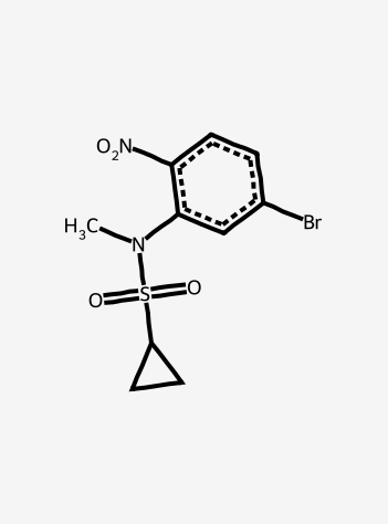 CN(c1cc(Br)ccc1[N+](=O)[O-])S(=O)(=O)C1CC1